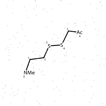 CNCCSSCC(C)=O